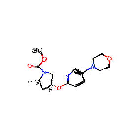 C[C@H]1C[C@@H](Oc2ccc(N3CCOCC3)cn2)CN1C(=O)OC(C)(C)C